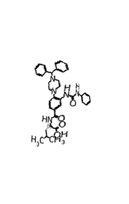 CC(C)C[C@H](NC(=O)c1ccc(N2CCN(C(c3ccccc3)c3ccccc3)CC2)c(NC(=O)Nc2ccccc2)c1)C(=O)O